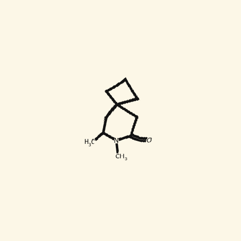 CC1CC2(CCC2)CC(=O)N1C